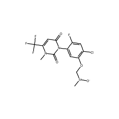 Cn1c(C(F)(F)F)cc(=O)n(-c2cc(OC[S+](C)[O-])c(Cl)cc2F)c1=O